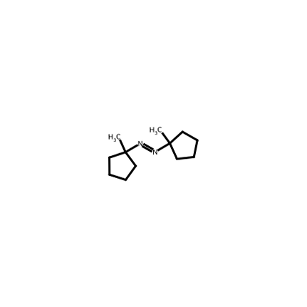 CC1(N=NC2(C)CCCC2)CCCC1